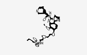 CCCS(=O)(=O)NCCOCCOc1ccc2c(c1OC)N=C(NC(=O)c1cccnc1)N1CCN=C21